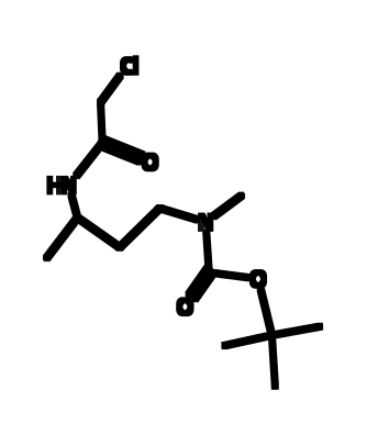 CC(CCN(C)C(=O)OC(C)(C)C)NC(=O)CCl